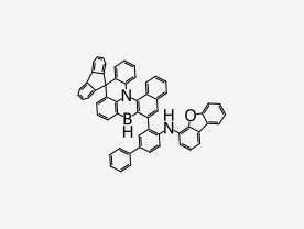 B1c2cccc3c2N(c2ccccc2C32c3ccccc3-c3ccccc32)c2c1c(-c1cc(-c3ccccc3)ccc1Nc1cccc3c1oc1ccccc13)cc1ccccc21